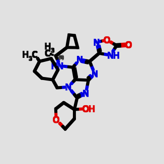 CC1CCC(Cn2c(C3(O)CCOCC3)nc3nc(-c4noc(=O)[nH]4)nc(N[C@H](C)C4CCC4)c32)CC1